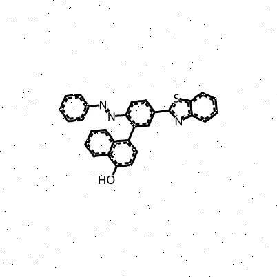 Oc1ccc(-c2cc(-c3nc4ccccc4s3)ccc2/N=N/c2ccccc2)c2ccccc12